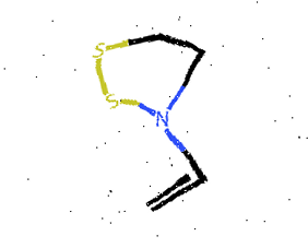 C=CN1CCSS1